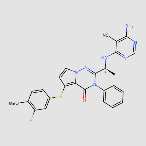 COc1ccc(Sc2ccn3nc([C@H](C)Nc4ncnc(N)c4C#N)n(-c4ccccc4)c(=O)c23)cc1F